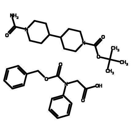 CC(C)(C)OC(=O)N1CCC(C2CCN(C(N)=O)CC2)CC1.O=C(O)CN(C(=O)OCc1ccccc1)c1ccccc1